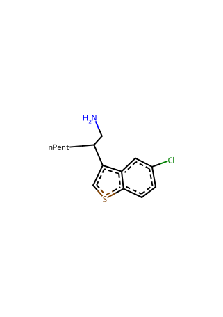 CCCCCC(CN)c1csc2ccc(Cl)cc12